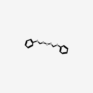 c1ccc(SCSOSCSc2ccccc2)cc1